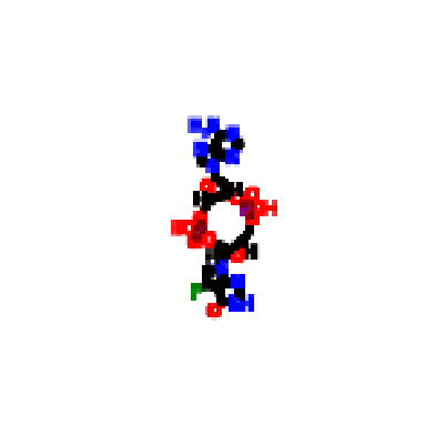 Nc1ncnc2c1ncn2[C@H]1C[C@@H]2OP(=O)(O)OC[C@@H]3C[C@@H](OP(=O)(O)OC[C@H]2O1)[C@H](n1cc(F)c2c(=O)[nH]cnc21)O3